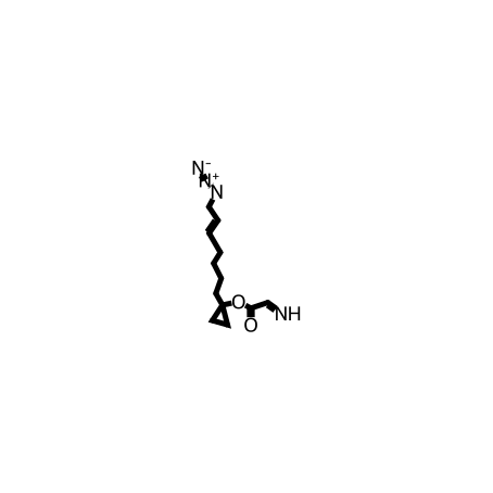 [N-]=[N+]=NC/C=C/CCCCC1(OC(=O)C=N)CC1